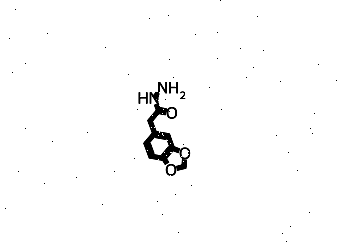 NNC(=O)Cc1ccc2c(c1)OCO2